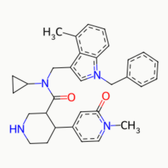 Cc1cccc2c1c(CN(C(=O)C1CNCCC1c1ccn(C)c(=O)c1)C1CC1)cn2Cc1ccccc1